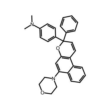 CN(C)c1ccc(C2(c3ccccc3)C=Cc3c(cc(N4CCOCC4)c4ccccc34)O2)cc1